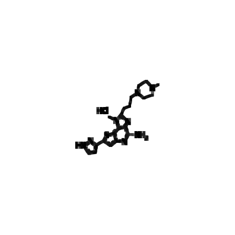 CN1CCN(CCCc2nc3c(N)nc4cc(-c5cc[nH]n5)sc4c3n2C)CC1.Cl